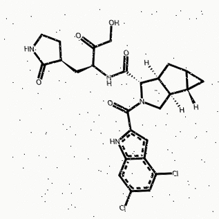 O=C1NCC[C@H]1C[C@H](NC(=O)[C@@H]1[C@H]2CC3C[C@@H]3[C@H]2CN1C(=O)c1cc2c(Cl)cc(Cl)cc2[nH]1)C(=O)CO